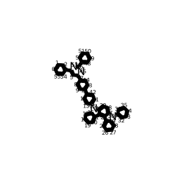 c1ccc(-c2cc(-c3ccc(-c4ccc(-n5c6ccccc6c6c7c8ccccc8n(-c8ccccc8)c7ccc65)cc4)cc3)nc(-c3ccccc3)n2)cc1